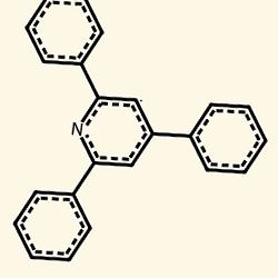 [c]1c(-c2ccccc2)cc(-c2ccccc2)nc1-c1ccccc1